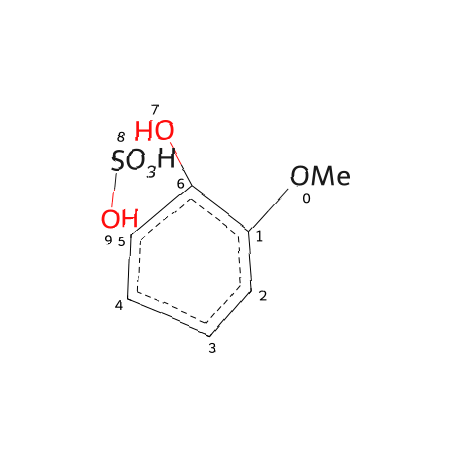 COc1ccccc1O.O=S(=O)(O)O